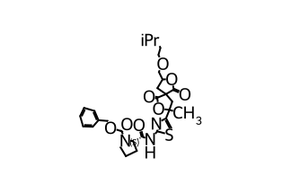 CC(C)CCOCC1CC2(CC(C)(c3csc(NC(=O)[C@@H]4CCCN4C(=O)OCc4ccccc4)n3)OC2=O)C(=O)O1